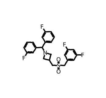 O=S(=O)(Cc1cc(F)cc(F)c1)CC1CN(C(c2cccc(F)c2)c2cccc(F)c2)C1